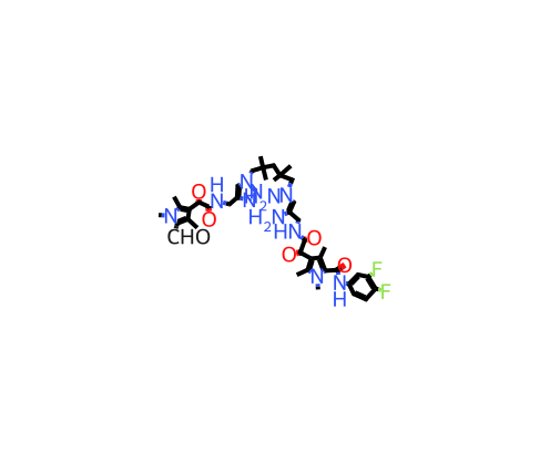 Cc1c(C(=O)C(=O)NCc2cn(CC(C)(C)CC(C)(C)CN(N)/C=C(\N)CNC(=O)C(=O)c3c(C)c(C(=O)Nc4ccc(F)c(F)c4)n(C)c3C)nn2)c(C)n(C)c1C=O